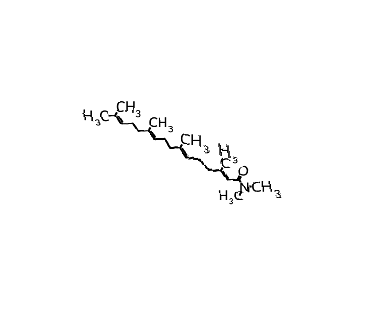 CC(C)=CCC/C(C)=C/CC/C(C)=C/CC/C(C)=C/C(=O)N(C)C